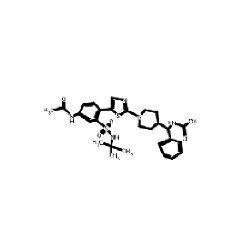 CC(=O)Nc1ccc(-c2cnc(N3CCC(C(NC(=O)O)c4ccccc4)CC3)s2)c(S(=O)(=O)NC(C)(C)C)c1